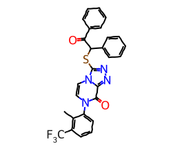 Cc1c(-n2ccn3c(SC(C(=O)c4ccccc4)c4ccccc4)nnc3c2=O)cccc1C(F)(F)F